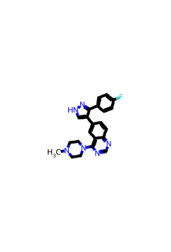 CN1CCN(c2ncnc3ccc(-c4c[nH]nc4-c4ccc(F)cc4)cc23)CC1